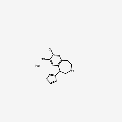 Br.Oc1cc2c(cc1Cl)CCNCC2c1ccsc1